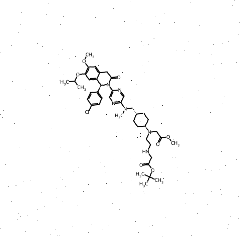 COC(=O)CN(CCNCC(=O)OC(C)(C)C)[C@H]1CC[C@H](CN(C)c2cnc(N3C(=O)Cc4cc(OC)c(OC(C)C)cc4[C@@H]3c3ccc(Cl)cc3)cn2)CC1